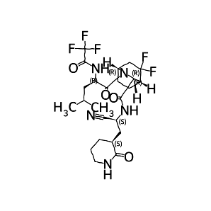 CC(C)C[C@@H](NC(=O)C(F)(F)F)C(=O)N1[C@@H]2CC[C@H]([C@@H]1C(=O)N[C@H](C#N)C[C@@H]1CCCNC1=O)C(F)(F)C2